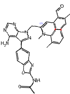 CC(=O)Nc1nc2cc(-c3nn(C/C(=C/c4cccc(C)c4C=O)N(C)c4ccccc4C)c4ncnc(N)c34)ccc2o1